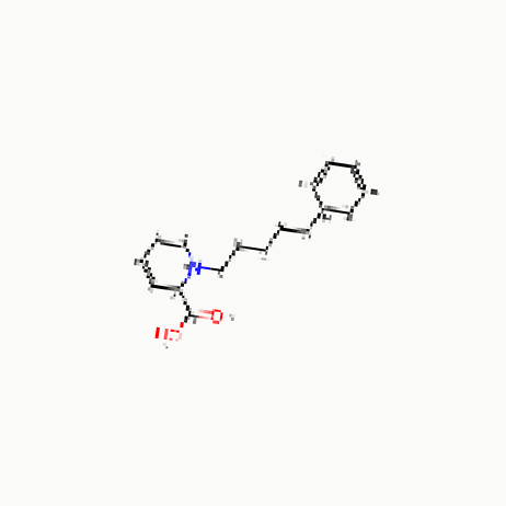 O=C(O)C1C=CC=CN1CCCCCc1ccccc1